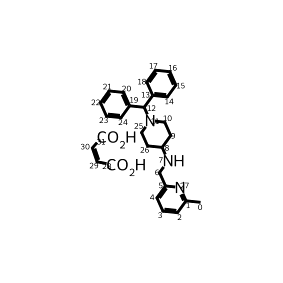 Cc1cccc(CNC2CCN(C(c3ccccc3)c3ccccc3)CC2)n1.O=C(O)/C=C\C(=O)O